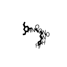 CCC1CC(CC)CC(CNC(=O)COc2cc(C3CC(F)(F)C3)[nH]c(=O)n2)C1